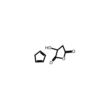 C1=CCC=C1.O=C1CC(O)C(=O)O1